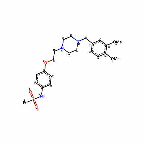 CCS(=O)(=O)Nc1ccc(OCCN2CCN(Cc3ccc(OC)c(OC)c3)CC2)cc1